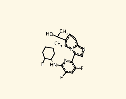 C[C@](O)(c1ccc2ncc(-c3nc(N[C@H]4CCCC[C@@H]4F)c(F)cc3F)n2c1)C(F)(F)F